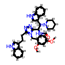 COc1ccc(Cn2c(CCc3c[nH]c4ccccc34)nnc2C(Cc2c[nH]c3ccccc23)NC(=O)[C@H]2CCCCN2)c(OC)c1